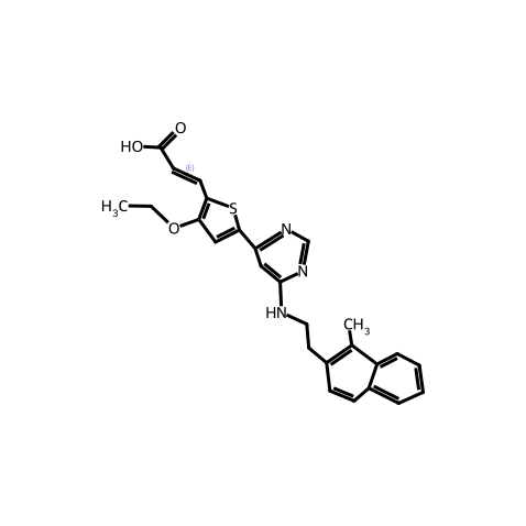 CCOc1cc(-c2cc(NCCc3ccc4ccccc4c3C)ncn2)sc1/C=C/C(=O)O